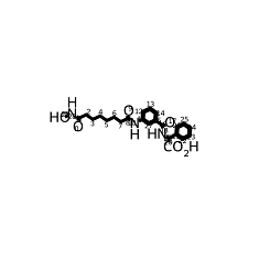 O=C(CCCCCCC(=O)Nc1cccc(C(=O)N[C@H](C(=O)O)c2ccccc2)c1)NO